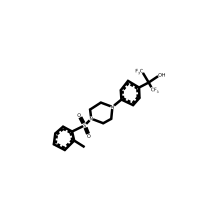 Cc1ccccc1S(=O)(=O)N1CCN(c2ccc(C(O)(C(F)(F)F)C(F)(F)F)cc2)CC1